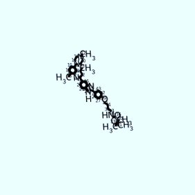 CCC/C(=N\c1cc(N2CCN(C)CC2)ccc1C)c1ccc2[nH]c(-c3ccc(OCCCCNC(=O)OC(C)(C)C)cc3)nc2c1